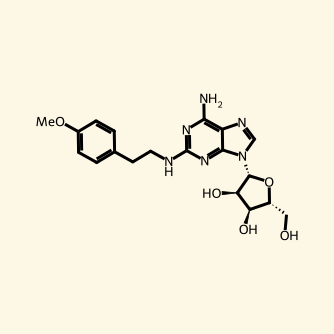 COc1ccc(CCNc2nc(N)c3ncn([C@@H]4O[C@H](CO)[C@@H](O)[C@H]4O)c3n2)cc1